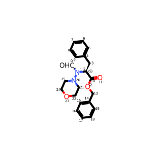 O=CN([C@@H](Cc1ccccc1)C(=O)OCc1ccccc1)N1CCOCC1